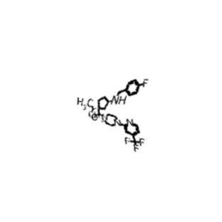 CC(C)[C@]1(C(=O)N2CCN(c3cc(C(F)(F)F)ccn3)CC2)CC[C@@H](NCc2ccc(F)cc2)C1